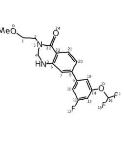 COCCN1CNc2cc(-c3cc(F)cc(OC(F)F)c3)ccc2C1=O